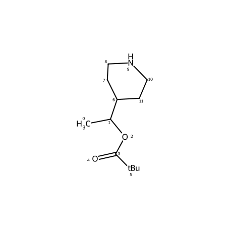 CC(OC(=O)C(C)(C)C)C1CCNCC1